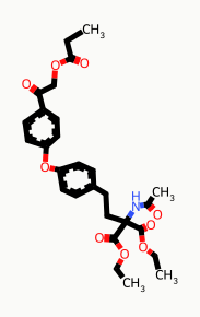 CCOC(=O)C(CCc1ccc(Oc2ccc(C(=O)COC(=O)CC)cc2)cc1)(NC(C)=O)C(=O)OCC